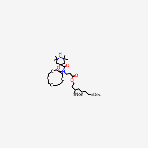 CCCCCCCCCCCCCCC(CCCCCCCCC)CCOC(=O)CCN1C(=O)C2(CC(C)(C)NC(C)(C)C2)OC12CCCCCCCCCCC2